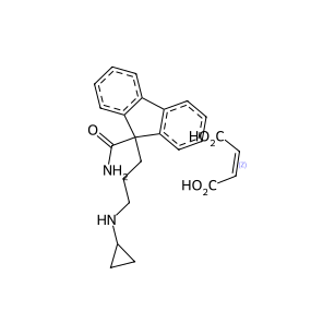 NC(=O)C1(CCCNC2CC2)c2ccccc2-c2ccccc21.O=C(O)/C=C\C(=O)O